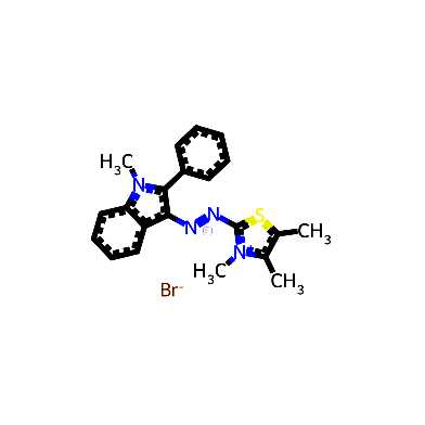 Cc1sc(/N=N/c2c(-c3ccccc3)n(C)c3ccccc23)[n+](C)c1C.[Br-]